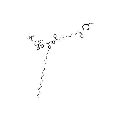 C=Cc1ccc(C(=O)CCCCCCCCC(=O)OCC(COP(=O)([O-])OCC[N+](C)(C)C)OCCCCCCCCCCCCCCCCCC)cc1